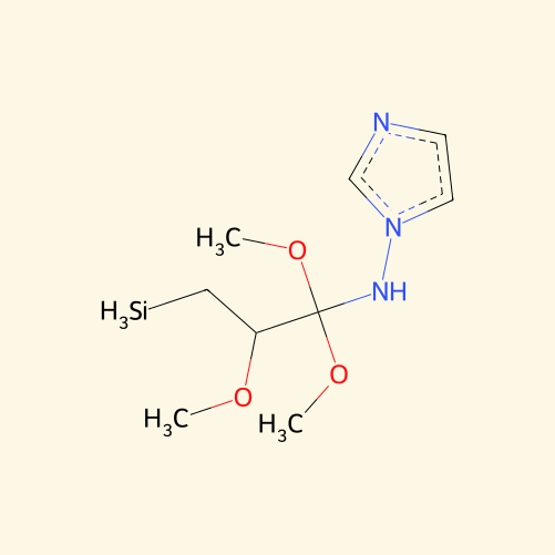 COC(C[SiH3])C(Nn1ccnc1)(OC)OC